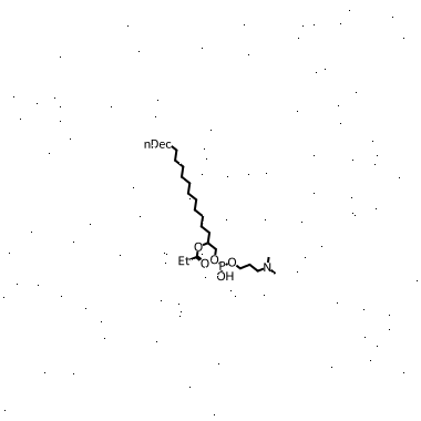 CCCCCCCCCCCCCCCCCCCCCC(COP(O)OCCCN(C)C)OC(=O)CC